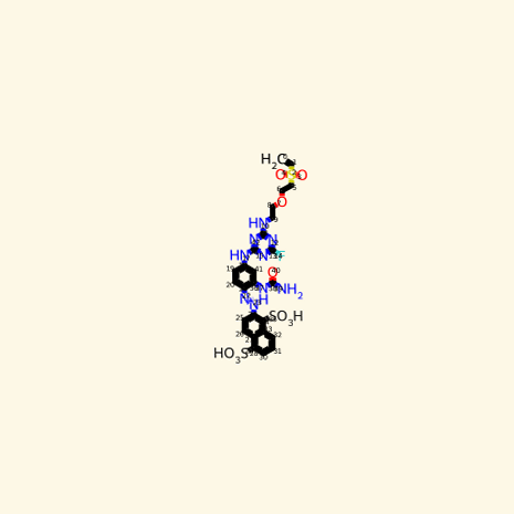 C=CS(=O)(=O)CCOCCNc1nc(F)nc(Nc2ccc(/N=N/c3ccc4c(S(=O)(=O)O)cccc4c3S(=O)(=O)O)c(NC(N)=O)c2)n1